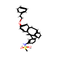 CC1(c2cccc(NS(C)(=O)=O)c2)c2ccccc2CCc2cc(OCCc3ccccc3)ccc21